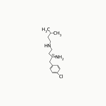 CC(C)CCNCC[C@@H](N)Cc1ccc(Cl)cc1